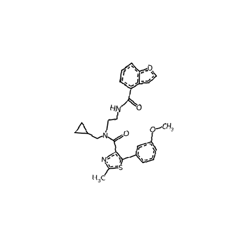 COc1cccc(-c2sc(C)nc2C(=O)N(CCNC(=O)c2cccc3occc23)CC2CC2)c1